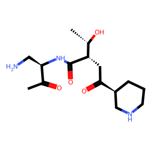 CC(=O)[C@@H](CN)NC(=O)[C@@H](CC(=O)[C@H]1CCCNC1)[C@H](C)O